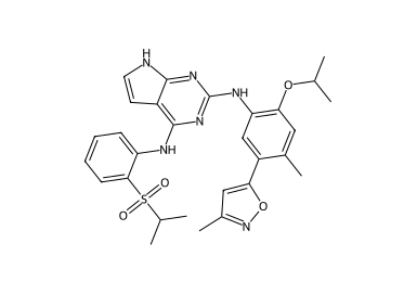 Cc1cc(-c2cc(Nc3nc(Nc4ccccc4S(=O)(=O)C(C)C)c4cc[nH]c4n3)c(OC(C)C)cc2C)on1